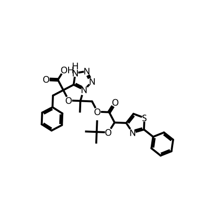 CC(C)(C)OC(C(=O)OCC(C)(C)OC(Cc1ccccc1)(C(=O)O)c1nnn[nH]1)c1csc(-c2ccccc2)n1